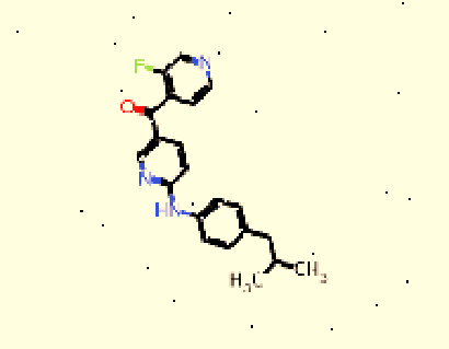 CC(C)Cc1ccc(Nc2ccc(C(=O)c3ccncc3F)cn2)cc1